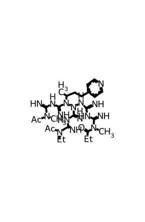 CCC(=O)N(C)C(=N)NC(=N)NN(C(=N)NC(=N)N(CC)C(C)=O)N(C(=N)NC(=N)N(C)C(C)=O)C(C)CCc1ccncc1